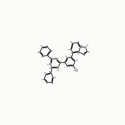 Clc1cc(-c2nc(-c3ccccc3)nc(-c3ccccc3)n2)cc(-c2cccc3sccc23)c1